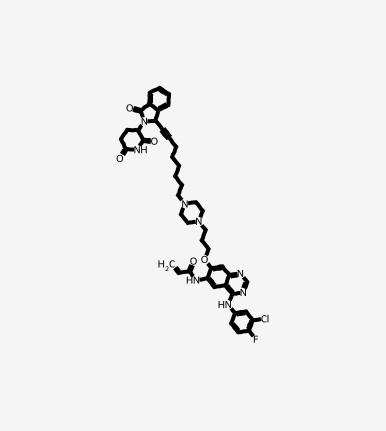 C=CC(=O)Nc1cc2c(Nc3ccc(F)c(Cl)c3)ncnc2cc1OCCCN1CCN(CCCCCCC#CC2c3ccccc3C(=O)N2C2CCC(=O)NC2=O)CC1